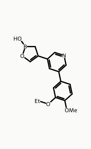 CCOc1cc(-c2cncc(C3=COB(O)C3)c2)ccc1OC